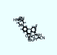 CC(C)[C@@H](C#N)NC(=O)[C@@H]1C[C@@H](F)CC[C@H]1c1nc(C(C)(C)C)oc1-c1ccc(N2CC[SH](=N)(O)CC2)cc1